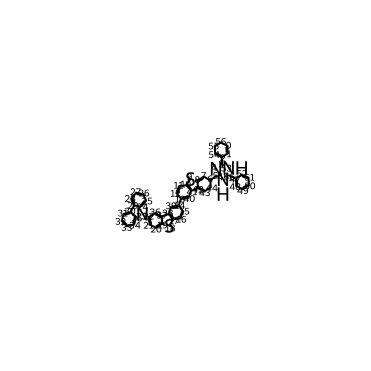 C1=CC(C2=NC(C3C=c4sc5ccc(-c6ccc7sc8ccc(-n9c%10ccccc%10c%10ccccc%109)cc8c7c6)cc5c4=CC3)NC(c3ccccc3)N2)=CCC1